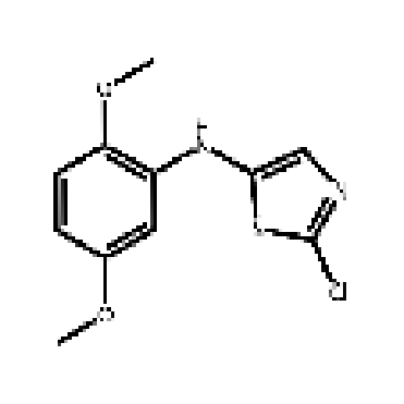 COc1ccc(OC)c(Nc2cnc(Cl)s2)c1